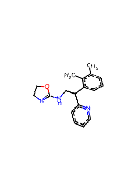 Cc1cccc(C(CNC2=NCCO2)c2ccccn2)c1C